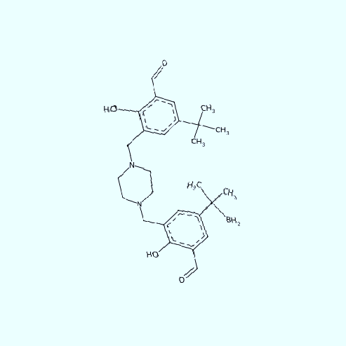 BC(C)(C)c1cc(C=O)c(O)c(CN2CCN(Cc3cc(C(C)(C)C)cc(C=O)c3O)CC2)c1